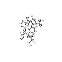 CCC(C)C(=O)Oc1ccc(C[C@](N)(CC(C)OC(=O)c2ccccc2)C(=O)OC)cc1OC(=O)C(C)CC